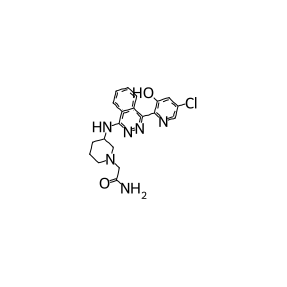 NC(=O)CN1CCCC(Nc2nnc(-c3ncc(Cl)cc3O)c3ccccc23)C1